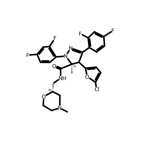 CN1CCO[C@H](CNC(=O)[C@]2(C)C(c3ccc(Cl)o3)C(c3ccc(F)cc3F)=NN2c2ccc(F)cc2F)C1